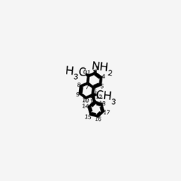 CC1C(N)=CC=C2C1C=CCC2(C)c1ccccc1